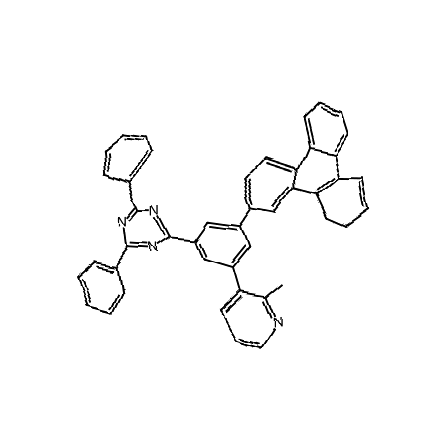 Cc1ncccc1-c1cc(-c2ccc3c(c2)c2c(c4ccccc43)C=CCC2)cc(-c2nc(-c3ccccc3)nc(-c3ccccc3)n2)c1